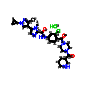 Cl.Cn1c(-c2cn(C3CC3)nc2C(F)(F)F)cnc1C(=O)Nc1ccc(C(=O)N2CCN(C(=O)C3CCCNC3)CC2)c(Cl)c1